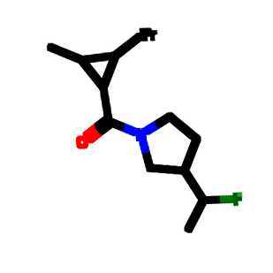 CC(C)C1C(C)C1C(=O)N1CCC(C(C)F)C1